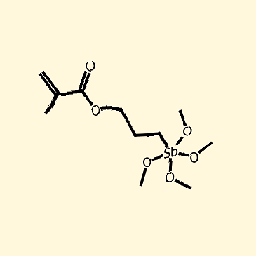 C=C(C)C(=O)OCC[CH2][Sb]([O]C)([O]C)([O]C)[O]C